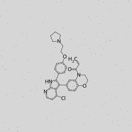 C=CC(=O)N1CCOc2ccc(-c3c(-c4ccc(OCCN5CCCC5)cc4)[nH]c4nccc(Cl)c34)cc21